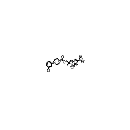 CC(O)(COC(=O)N1CCN(c2cccc(Cl)c2)CC1)Cn1cc([N+](=O)[O-])nc1Cl